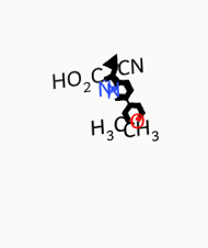 CC1(C)C[C@@H](c2ccc3c(C4(C#N)CC4)c(C(=O)O)nn3c2)CCO1